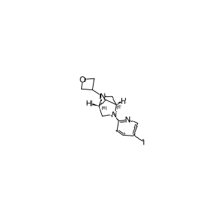 Ic1ccc(N2C[C@H]3C[C@@H]2CN3C2COC2)nc1